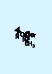 Cn1cc2c(Br)ccc(OCC3(C#N)CC3)c2n1